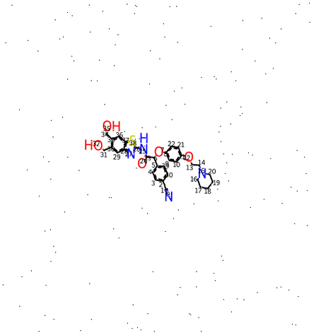 N#Cc1ccc(C(Oc2ccc(OCCN3CCCCC3)cc2)C(=O)Nc2nc3cc(CO)c(CO)cc3s2)cc1